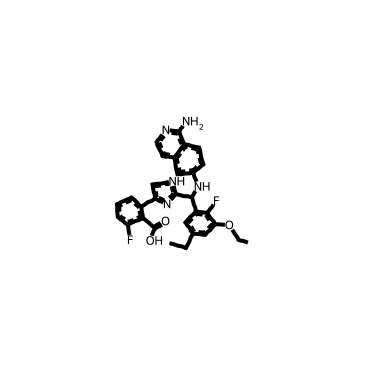 CCOc1cc(CC)cc(C(Nc2ccc3c(N)nccc3c2)c2nc(-c3cccc(F)c3C(=O)O)c[nH]2)c1F